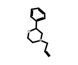 C=CCN1CCOC(c2ccccc2)C1